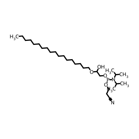 CCCCCCCCCCCCCCCCCCOC(O)COP(OCCC#N)N(C(C)C)C(C)C